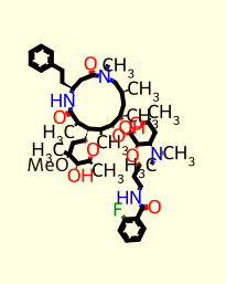 CO[C@]1(C)CC([C@H]2[C@H](C)[C@@H](O[C@@H]3O[C@H](C)C[C@H](N(C)C)[C@H]3OCCCNC(=O)c3ccccc3F)[C@](C)(O)C[C@@H](C)CN(C)C(=O)C[C@H](CCc3ccccc3)NC(=O)[C@@H]2C)O[C@@H](C)[C@@H]1O